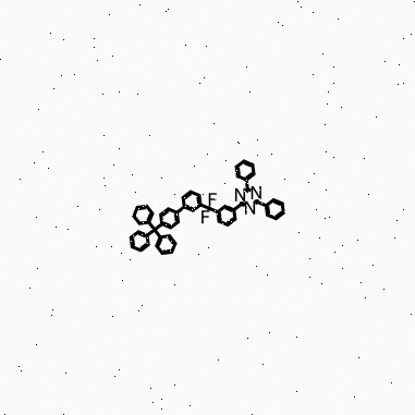 FC(F)(c1cccc(-c2ccc(C(C3=CC=CCC3)(c3ccccc3)c3ccccc3)cc2)c1)c1cccc(-c2nc(-c3ccccc3)nc(-c3ccccc3)n2)c1